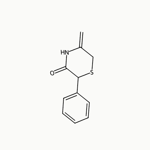 C=C1CSC(c2ccccc2)C(=O)N1